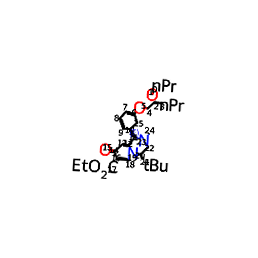 CCCOC(CCC)COC1=CC=C/C(=C2\c3cc(=O)c(C(=O)OCC)cn3C(C(C)(C)C)CN2C)C1